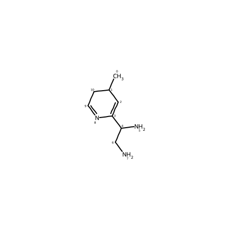 CC1C=C(C(N)CN)N=CC1